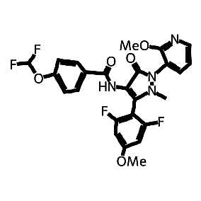 COc1cc(F)c(-c2c(NC(=O)c3ccc(OC(F)F)cc3)c(=O)n(-c3cccnc3OC)n2C)c(F)c1